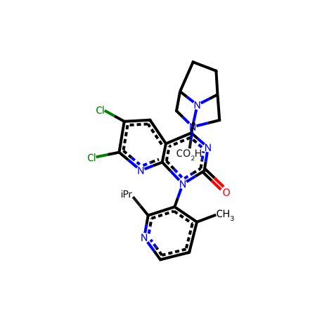 Cc1ccnc(C(C)C)c1-n1c(=O)nc(N2C3CCC2CN(C(=O)O)C3)c2cc(Cl)c(Cl)nc21